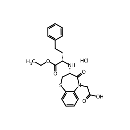 CCOC(=O)[C@H](CCc1ccccc1)N[C@H]1CSc2ccccc2N(CC(=O)O)C1=O.Cl